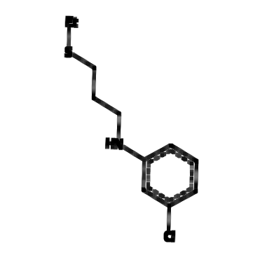 CCSCCCNc1cccc(Cl)c1